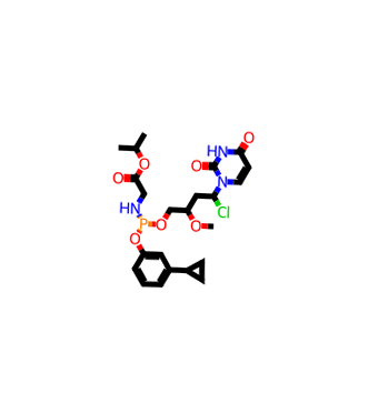 COC(COP(NCC(=O)OC(C)C)Oc1cccc(C2CC2)c1)CC(Cl)n1ccc(=O)[nH]c1=O